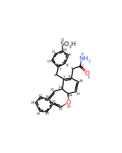 NC(=O)CC1=C(Cc2ccc(S(=O)(=O)O)cc2)C2C=c3ccccc3=COC2C=C1